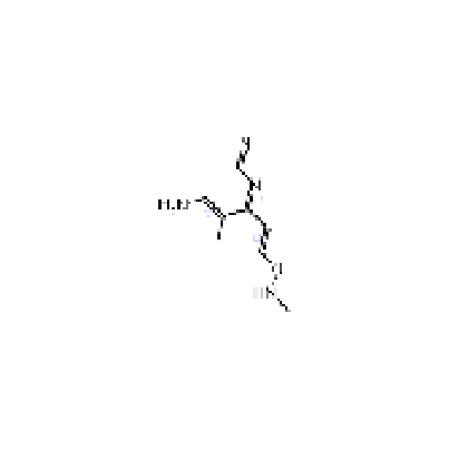 CNO/C=C/C(=N/C=N)C(/C)=C/N